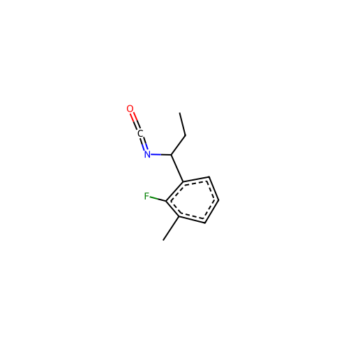 CCC(N=C=O)c1cccc(C)c1F